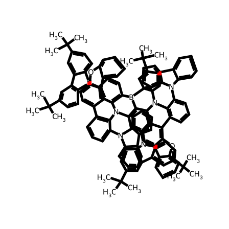 CC(C)(C)c1ccc2c(c1)B1c3ccc(-n4c5ccc(C(C)(C)C)cc5c5cc(C(C)(C)C)ccc54)cc3N(c3c(-c4ccc5oc6ccccc6c5c4)cccc3-n3c4ccccc4c4ccccc43)c3cc(-n4c5ccc(C(C)(C)C)cc5c5cc(C(C)(C)C)ccc54)cc(c31)N2c1c(-c2cccc3c2oc2ccccc23)cccc1-n1c2ccccc2c2ccccc21